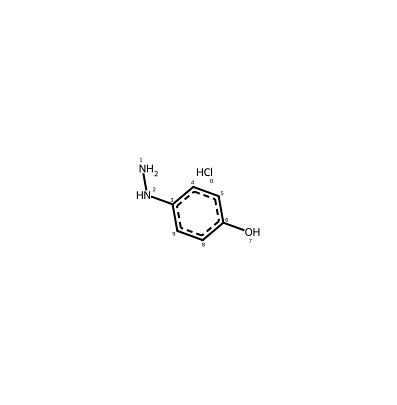 Cl.NNc1ccc(O)cc1